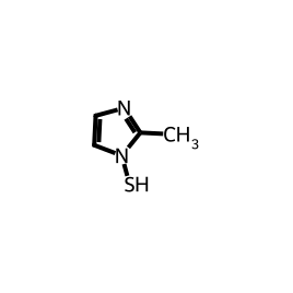 Cc1nccn1S